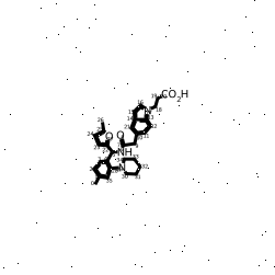 Cc1ccc(C(NC(=O)Cc2ccc3c(ccn3CCC(=O)O)c2)c2ccc(C)o2)c(N2CCCCC2)c1